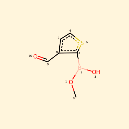 COB(O)c1sccc1C=O